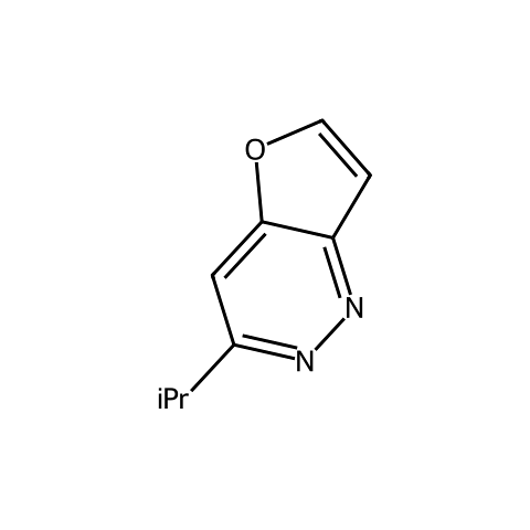 CC(C)c1cc2occc2nn1